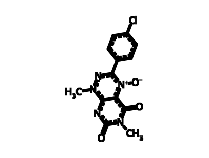 Cn1nc(-c2ccc(Cl)cc2)[n+]([O-])c2c(=O)n(C)c(=O)nc1-2